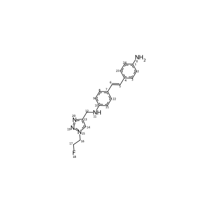 Nc1ccc(/C=C/c2ccc(NCc3cn(CCF)nn3)cc2)cc1